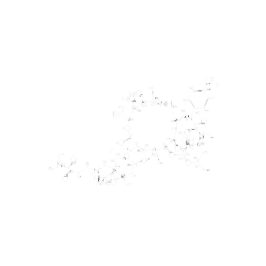 CC[C@H]1OC(=O)[C@H](C)[C@@H](O[C@H]2C[C@@](C)(OC)[C@](O)(CNCCS(=O)(=O)N(C)C)[C@H](C)O2)[C@H](C)[C@@H](O[C@@H]2O[C@H](C)C[C@H](N(C)S(=O)(=O)Nc3ccc(C(F)(F)F)cc3)[C@H]2O)[C@](C)(O)C[C@@H](C)CN[C@H](C)[C@@H](O)[C@]1(C)O